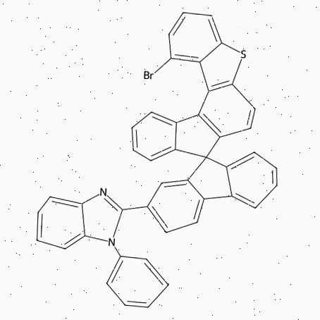 Brc1cccc2sc3ccc4c(c3c12)-c1ccccc1C41c2ccccc2-c2ccc(-c3nc4ccccc4n3-c3ccccc3)cc21